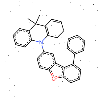 CC1(C)C2=C(CCC=C2)N(c2ccc3oc4cccc(-c5ccccc5)c4c3c2)c2ccccc21